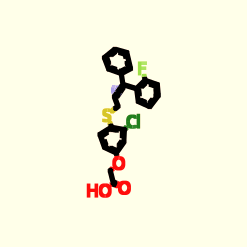 O=C(O)COc1ccc(SC/C=C(/c2ccccc2)c2ccccc2F)c(Cl)c1